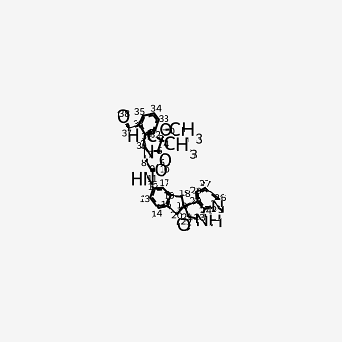 COC(C)(C)C(=O)N(CC(=O)Nc1ccc2c(c1)CC1(C2)C(=O)Nc2ncccc21)Cc1ccccc1C=O